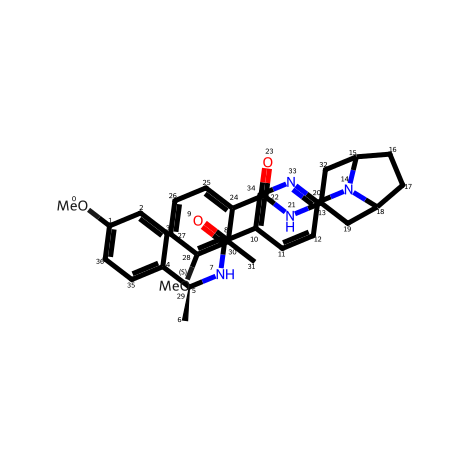 COc1ccc([C@H](C)NC(=O)c2ccc(N3C4CCC3CC(NC(=O)c3cccc(OC)c3C)C4)nc2)cc1